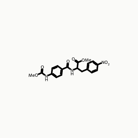 COC(=O)Nc1ccc(C(=O)NC(Cc2ccc([N+](=O)[O-])cc2)C(=O)OC)cc1